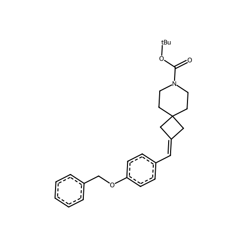 CC(C)(C)OC(=O)N1CCC2(CC1)CC(=Cc1ccc(OCc3ccccc3)cc1)C2